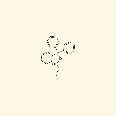 CCCC(=O)O[PH](c1ccccc1)(c1ccccc1)c1ccccc1